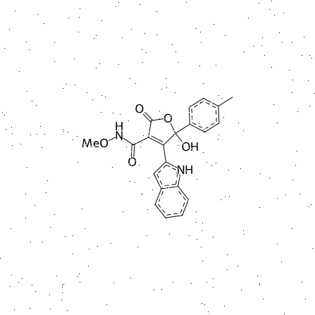 CONC(=O)C1=C(c2cc3ccccc3[nH]2)C(O)(c2ccc(C)cc2)OC1=O